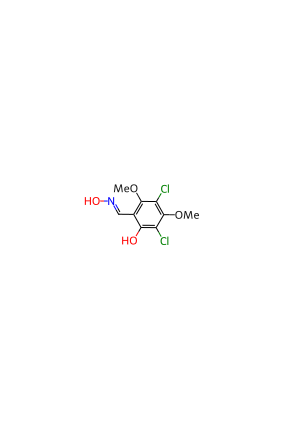 COc1c(Cl)c(O)c(C=NO)c(OC)c1Cl